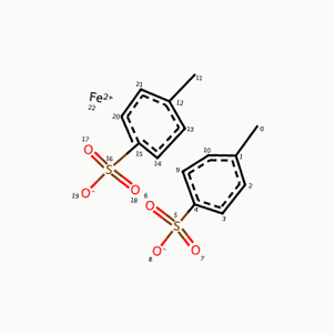 Cc1ccc(S(=O)(=O)[O-])cc1.Cc1ccc(S(=O)(=O)[O-])cc1.[Fe+2]